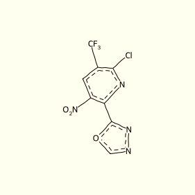 O=[N+]([O-])c1cc(C(F)(F)F)c(Cl)nc1-c1nnco1